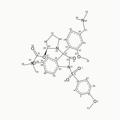 COc1ccc(S(=O)(=O)N2C(=O)C(c3ccc(CN(C)C)cc3OC)(N3CCC[C@@H]3OC(=O)N(C)C)c3cc(Cl)ccc32)cc1